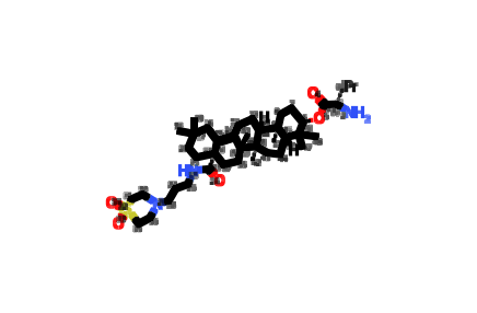 CC(C)[C@H](N)C(=O)O[C@H]1CC[C@]2(C)[C@H]3CCC4=C5CC(C)(C)CC[C@]5(C(=O)NCCCN5CCS(=O)(=O)CC5)CC[C@@]4(C)[C@]3(C)CC[C@H]2C1(C)C